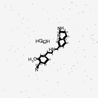 Cc1cc(CCNCc2ccc3ccc(N)nc3c2)ccc1C#N.Cl.Cl